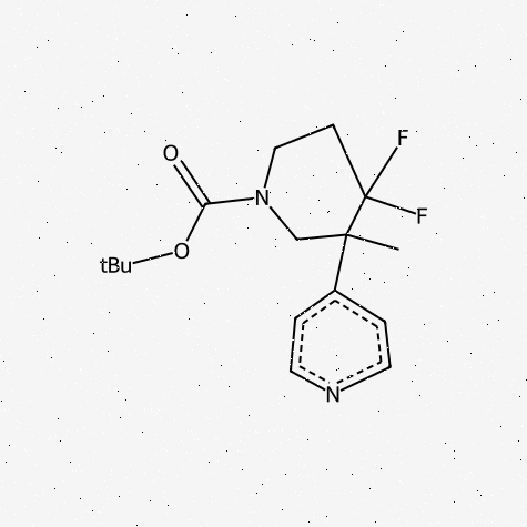 CC(C)(C)OC(=O)N1CCC(F)(F)C(C)(c2ccncc2)C1